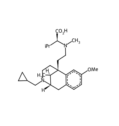 COc1ccc2c(c1)[C@@]1(CCN(C)[C@H](C(=O)O)C(C)C)CCN(CC3CC3)[C@@H](C2)[C@H]1C